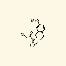 COc1ccc2c(c1)CC(CO)(NC(=O)CCl)CC2